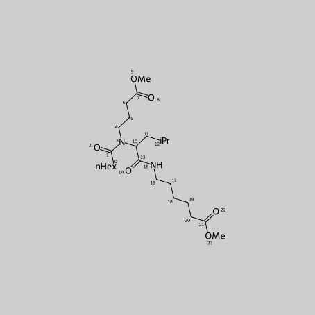 CCCCCCC(=O)N(CCCC(=O)OC)C(CC(C)C)C(=O)NCCCCCC(=O)OC